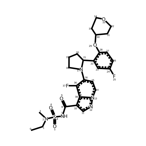 CCN(C)S(=O)(=O)NC(=O)c1cnn2ccc(N3CCCC3c3cc(F)ccc3OC3CCOCC3)c(F)c12